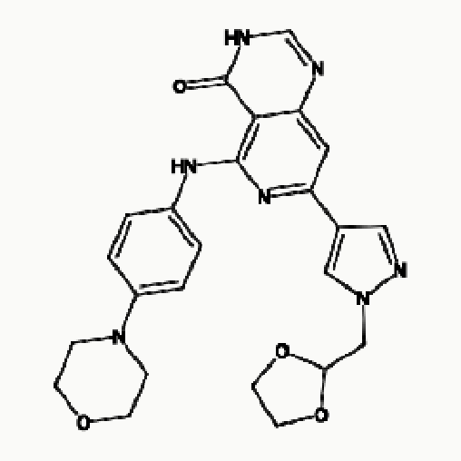 O=c1[nH]cnc2cc(-c3cnn(CC4OCCO4)c3)nc(Nc3ccc(N4CCOCC4)cc3)c12